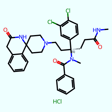 CNC(=O)CC[C@](CCN1CCC2(CC1)NC(=O)Cc1ccccc12)(c1ccc(Cl)c(Cl)c1)N(C)C(=O)c1ccccc1.Cl